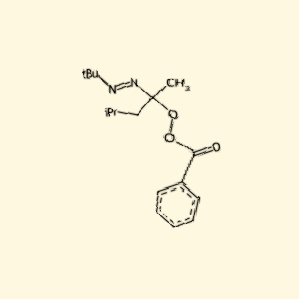 CC(C)CC(C)(N=NC(C)(C)C)OOC(=O)c1ccccc1